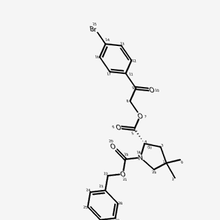 CC1(C)C[C@@H](C(=O)OCC(=O)c2ccc(Br)cc2)N(C(=O)OCc2ccccc2)C1